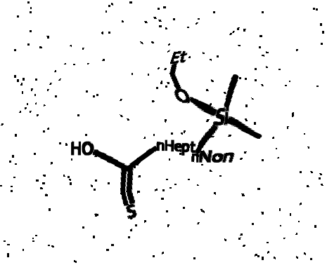 CCCCCCCC(O)=S.CCCCCCCCC[Si](C)(C)OCC